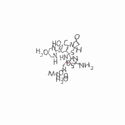 CON=CC(=O)NC1(c2csc(N)n2)S[C@H]2CC(=O)N2C(C(=O)O)=C1CSC1=NCCCN1.O.O.O